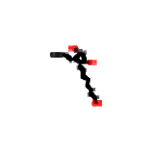 O=CCC[C@H]1[C@H](C=CCCCCCCO)[C@@H](O)C[C@H]1O